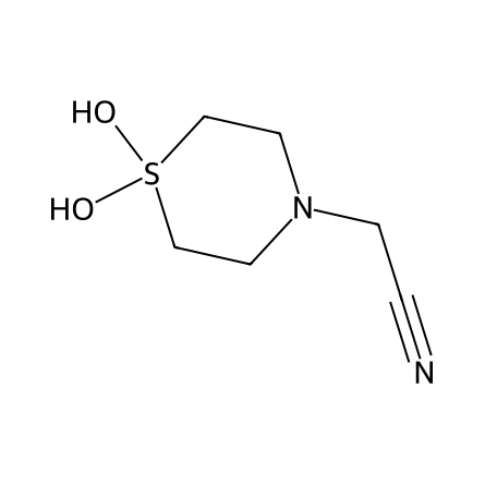 N#CCN1CCS(O)(O)CC1